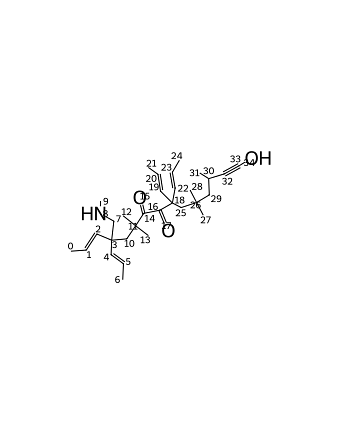 CC=CC(C=CC)(CNC)CC(C)(C)C(=O)C(=O)C(C=CC)(C=CC)CC(C)(C)CC(C)C#CO